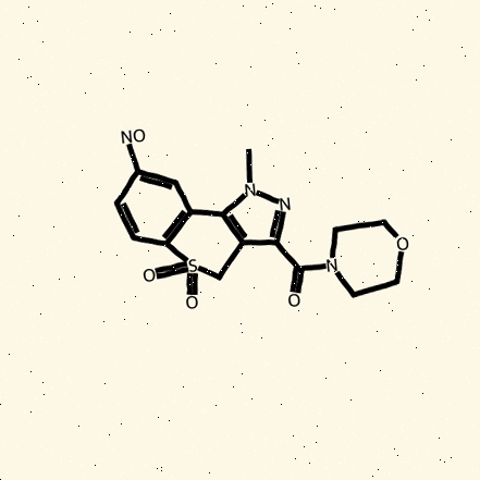 Cn1nc(C(=O)N2CCOCC2)c2c1-c1cc(N=O)ccc1S(=O)(=O)C2